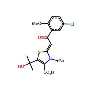 CCCCN1C(C(=O)O)=C(C(C)(C)O)S/C1=C\C(=O)c1cc(Cl)ccc1OC